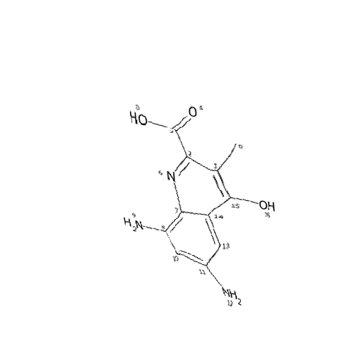 Cc1c(C(=O)O)nc2c(N)cc(N)cc2c1O